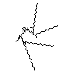 CCCCCCCCCCCCCN(CCCCCCCCCCCCC)CCN(CCC)CCN1CCN1CCN(CC(C)CCCCCCCCCCC)CC(C)CCCCCCCCCCC